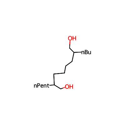 CCCCCC(CO)CCCCC(CO)CCCC